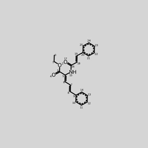 CCOC(=O)/C(=C/C=C/c1ccccc1)NC(=O)/C=C/c1ccccc1